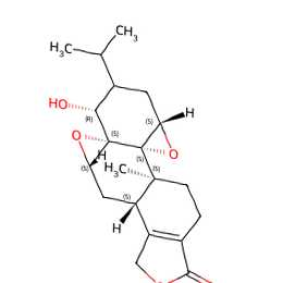 CC(C)C1C[C@@H]2O[C@]23[C@]2(O[C@H]2C[C@H]2C4=C(CC[C@@]23C)C(=O)OC4)[C@@H]1O